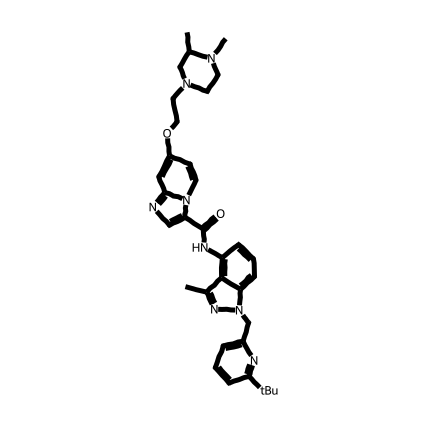 Cc1nn(Cc2cccc(C(C)(C)C)n2)c2cccc(NC(=O)c3cnc4cc(OCCN5CCN(C)C(C)C5)ccn34)c12